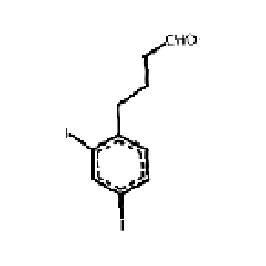 O=[C]CCCc1ccc(I)cc1I